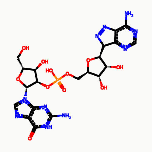 Nc1nc2c(ncn2[C@@H]2O[C@H](CO)[C@@H](O)[C@H]2OP(=O)(O)OC[C@H]2O[C@@H](C3N=Nc4c(N)ncnc43)[C@H](O)[C@@H]2O)c(=O)[nH]1